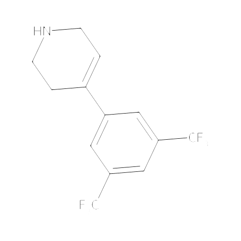 FC(F)(F)c1cc(C2=CCNCC2)cc(C(F)(F)F)c1